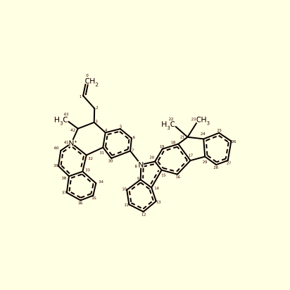 C=CCC1c2ccc(-n3c4ccccc4c4cc5c(cc43)C(C)(C)c3ccccc3-5)cc2-c2c3ccccc3cc[n+]2C1C